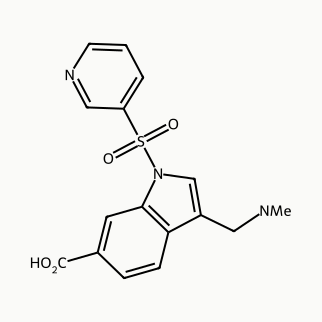 CNCc1cn(S(=O)(=O)c2cccnc2)c2cc(C(=O)O)ccc12